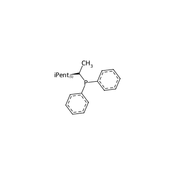 CCC[C@H](C)C(C)P(c1ccccc1)c1ccccc1